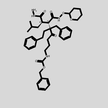 CC(C)C[C@@H](C(=O)NN)[C@H](C(=O)NOC1CCCCO1)C(CCc1ccccc1)(Cc1ccccc1)C(=O)CCCNC(=O)OCc1ccccc1